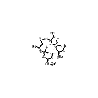 CCCCC(CC(C)C)OP([O-])(=S)SC(CCCC)CC(C)C.CCCCC(CC(C)C)OP([O-])(=S)SC(CCCC)CC(C)C.[Zn+2]